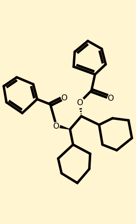 O=C(O[C@H](C1CCCCC1)[C@H](OC(=O)c1ccccc1)C1CCCCC1)c1ccccc1